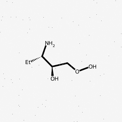 CC[C@H](N)[C@H](O)COO